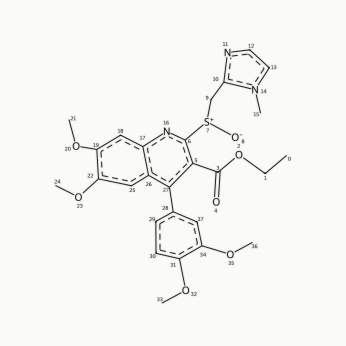 CCOC(=O)c1c([S+]([O-])Cc2nccn2C)nc2cc(OC)c(OC)cc2c1-c1ccc(OC)c(OC)c1